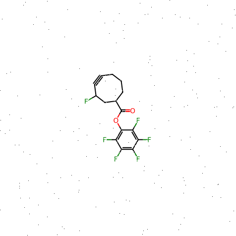 O=C(Oc1c(F)c(F)c(F)c(F)c1F)C1CCCC#CC(F)C1